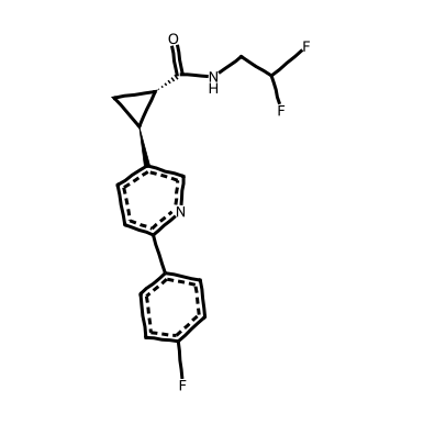 O=C(NCC(F)F)[C@H]1C[C@@H]1c1ccc(-c2ccc(F)cc2)nc1